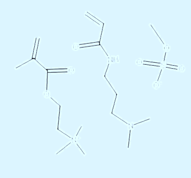 C=C(C)C(=O)OCC[N+](C)(C)C.C=CC(=O)NCCCN(C)C.COS(=O)(=O)[O-]